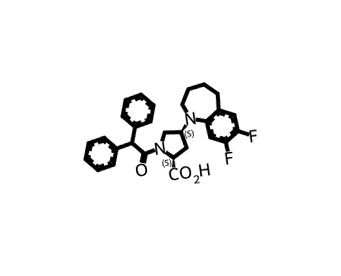 O=C(O)[C@@H]1C[C@H](N2CCCCc3cc(F)c(F)cc32)CN1C(=O)C(c1ccccc1)c1ccccc1